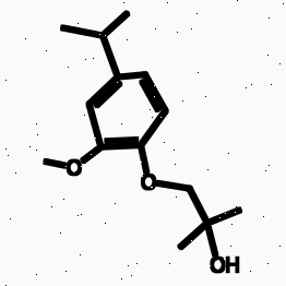 COc1cc(C(C)C)ccc1OCC(C)(C)O